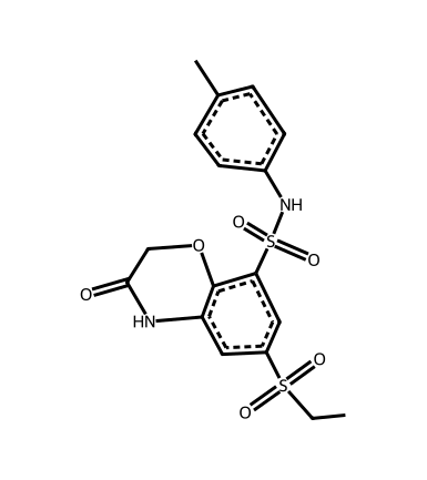 CCS(=O)(=O)c1cc2c(c(S(=O)(=O)Nc3ccc(C)cc3)c1)OCC(=O)N2